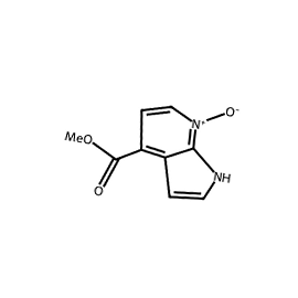 COC(=O)c1cc[n+]([O-])c2[nH]ccc12